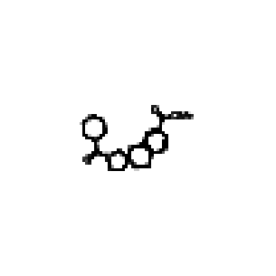 COC(=O)c1ccc2c(c1)CC1(CC2)CCN(C(=O)C2CCCCC2)C1